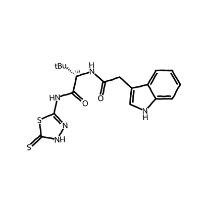 CC(C)(C)[C@H](NC(=O)Cc1c[nH]c2ccccc12)C(=O)Nc1n[nH]c(=S)s1